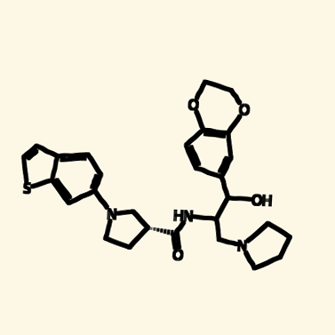 O=C(NC(CN1CCCC1)C(O)c1ccc2c(c1)OCCO2)[C@@H]1CCN(c2ccc3ccsc3c2)C1